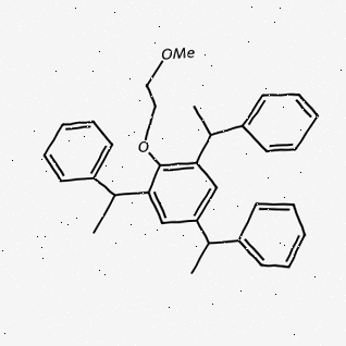 COCCOc1c(C(C)c2ccccc2)cc(C(C)c2ccccc2)cc1C(C)c1ccccc1